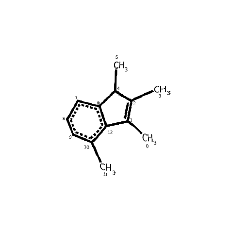 CC1=C(C)C(C)c2cccc(C)c21